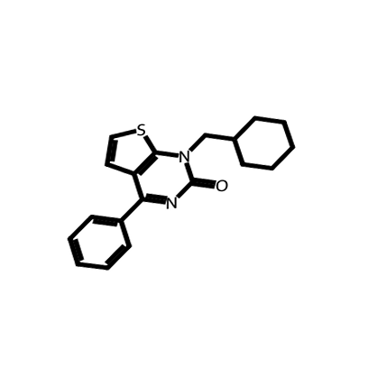 O=c1nc(-c2ccccc2)c2ccsc2n1CC1CCCCC1